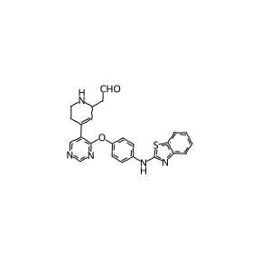 O=CCC1C=C(c2cncnc2Oc2ccc(Nc3nc4ccccc4s3)cc2)CCN1